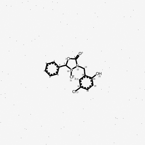 O=C1OC(c2ccccc2)N(C(F)(F)F)N1Cc1cc(Cl)ccc1O